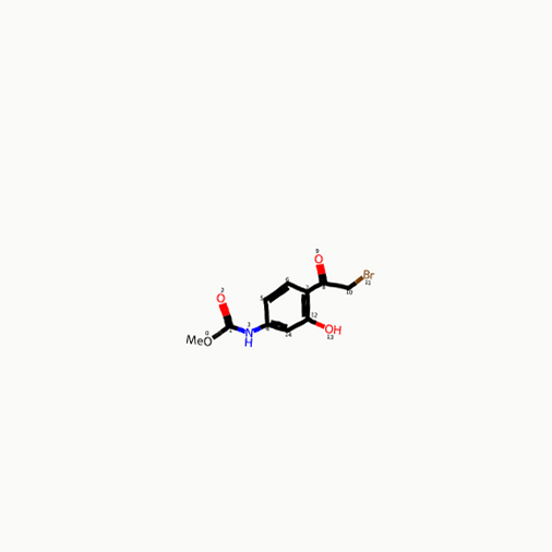 COC(=O)Nc1ccc(C(=O)CBr)c(O)c1